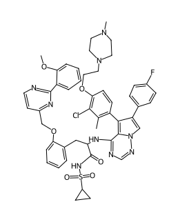 COc1ccccc1-c1nccc(COc2ccccc2CC(Nc2ncnn3cc(-c4ccc(F)cc4)c(-c4ccc(OCCN5CCN(C)CC5)c(Cl)c4C)c23)C(=O)NS(=O)(=O)C2CC2)n1